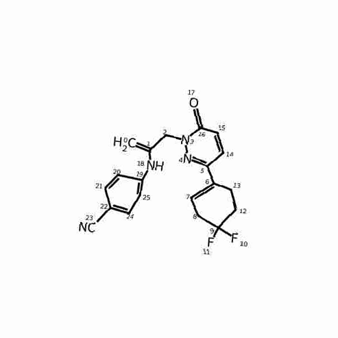 C=C(Cn1nc(C2=CCC(F)(F)CC2)ccc1=O)Nc1ccc(C#N)cc1